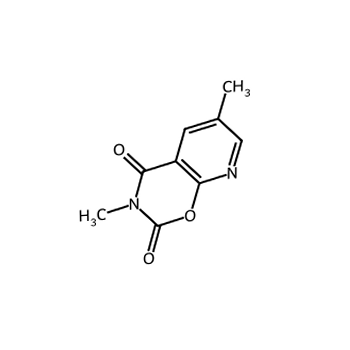 Cc1cnc2oc(=O)n(C)c(=O)c2c1